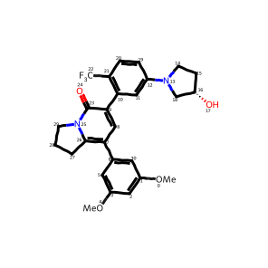 COc1cc(OC)cc(-c2cc(-c3cc(N4CC[C@H](O)C4)ccc3C(F)(F)F)c(=O)n3c2CCC3)c1